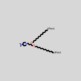 CCCCCC=CCC=CCCCCCCCCOCC(CCN1CCC(N(C)C)CC1)OCCCCCCCCC=CCC=CCCCCC